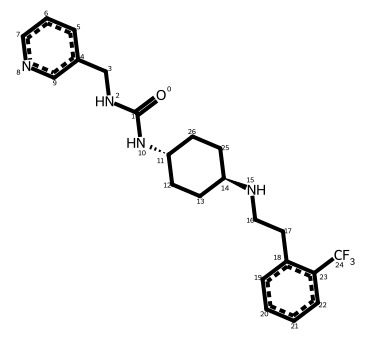 O=C(NCc1cccnc1)N[C@H]1CC[C@H](NCCc2ccccc2C(F)(F)F)CC1